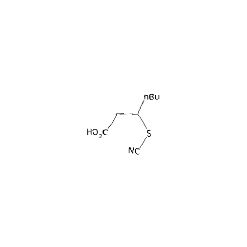 CCCCC(CC(=O)O)SC#N